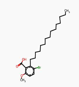 CCCCCCCCCCCCCCCc1c(Br)ccc(OC)c1C(=O)O